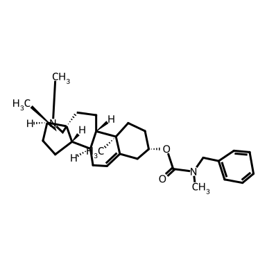 C[C@H]1[C@H]2CC[C@H]3[C@@H]4CC=C5C[C@@H](OC(=O)N(C)Cc6ccccc6)CC[C@]5(C)[C@H]4CC[C@]23CN1C